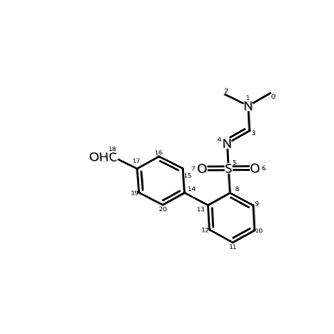 CN(C)C=NS(=O)(=O)c1ccccc1-c1ccc(C=O)cc1